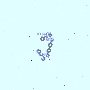 CN(C(=O)O)[C@@H](C(=O)N1CCC[C@H]1c1ncc(-c2ccc(-c3ccc(-c4cnc([C@@H]5CCCN5C(=O)Cc5ccccn5)[nH]4)cc3)cc2)[nH]1)c1ccccc1